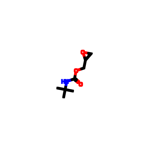 CC(C)(C)NC(=O)OCC1CO1